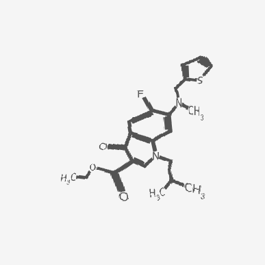 CCOC(=O)c1cn(CC(C)C)c2cc(N(C)Cc3cccs3)c(F)cc2c1=O